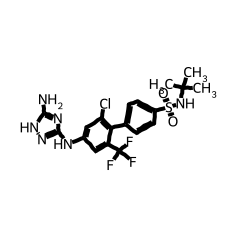 CC(C)(C)NS(=O)(=O)c1ccc(-c2c(Cl)cc(Nc3n[nH]c(N)n3)cc2C(F)(F)F)cc1